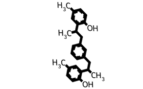 Cc1ccc(O)c(C(C)Cc2cccc(CC(C)c3cc(C)ccc3O)c2)c1